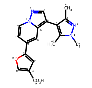 CCn1nc(C)c(-c2cnn3ccc(-c4cc(C(=O)O)co4)cc23)c1C